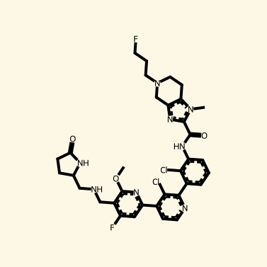 COc1nc(-c2ccnc(-c3cccc(NC(=O)c4nc5c(n4C)CCN(CCCF)C5)c3Cl)c2Cl)cc(F)c1CNCC1CCC(=O)N1